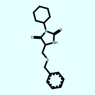 O=C1C(CSCc2ccccc2)NC(=S)N1C1CCCCC1